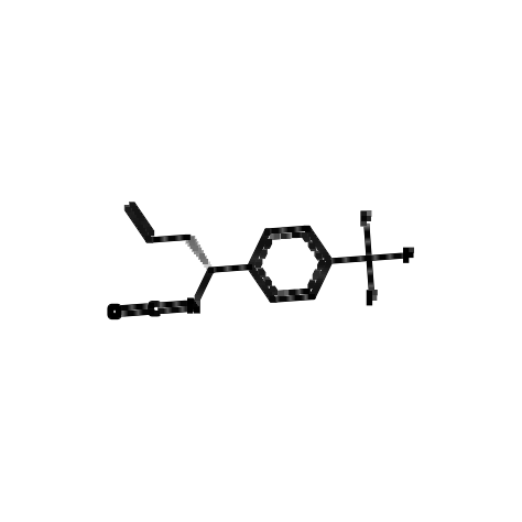 C=CC[C@@H](N=C=O)c1ccc(C(F)(F)F)cc1